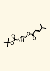 CC(C)/C=C/C(=O)OCCNC(=O)OC(C)(C)C